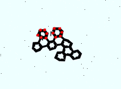 c1ccc(-c2ccccc2-c2ccc(-c3c(-c4ccccc4)ccc4c5ccccc5c5ccccc5c34)c(-c3ccccn3)c2-c2ccccn2)cc1